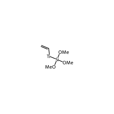 C=[CH][Ti][Si](OC)(OC)OC